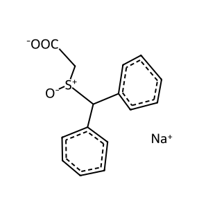 O=C([O-])C[S+]([O-])C(c1ccccc1)c1ccccc1.[Na+]